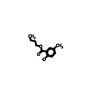 CCCCOC(=O)c1cc(C)ccc1[O]